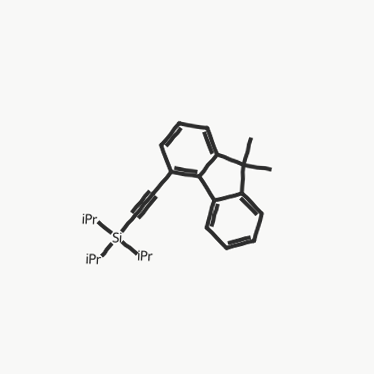 CC(C)[Si](C#Cc1cccc2c1-c1ccccc1C2(C)C)(C(C)C)C(C)C